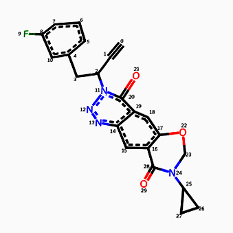 C#CC(Cc1cccc(F)c1)n1nnc2cc3c(cc2c1=O)OCN(C1CC1)C3=O